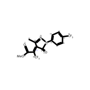 COC(=O)/C(=C1/C(=O)N(c2ccc(C(F)(F)F)cc2)N=C1C)C(F)(F)F